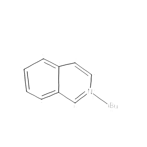 CCC(C)[n+]1ccc2ccccc2c1